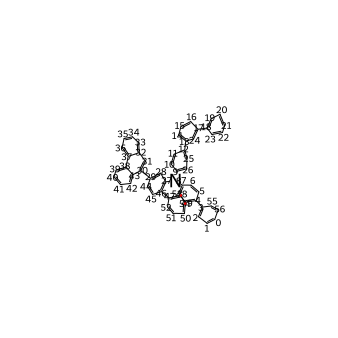 c1ccc(-c2ccc(N(c3ccc(-c4cccc(-c5ccccc5)c4)cc3)c3cc(-c4cc5ccccc5c5ccccc45)ccc3-c3ccccc3)cc2)cc1